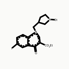 CCOC(=O)c1cn(CC2CCN(CC)C2)c2ccc(I)cc2c1=O